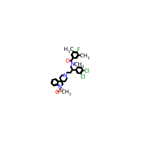 Cc1cc(C(=O)N(C)CC(CCN2CCC3(CC2)CN([S+](C)[O-])c2ccccc23)c2ccc(Cl)c(Cl)c2)cc(C)c1F